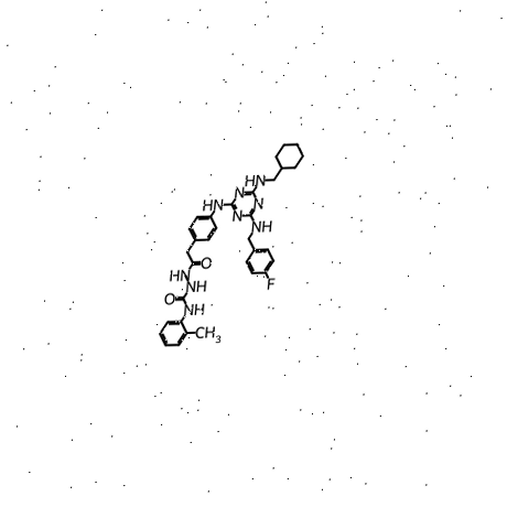 Cc1ccccc1NC(=O)NNC(=O)Cc1ccc(Nc2nc(NCc3ccc(F)cc3)nc(NCC3CCCCC3)n2)cc1